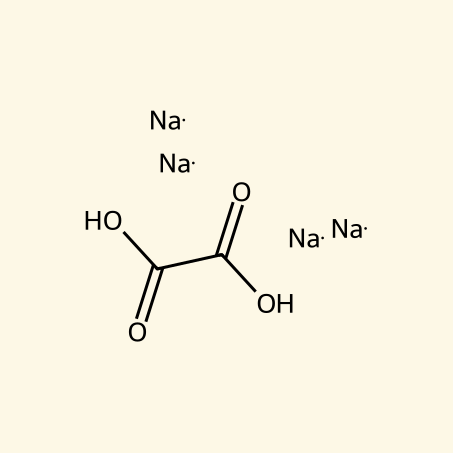 O=C(O)C(=O)O.[Na].[Na].[Na].[Na]